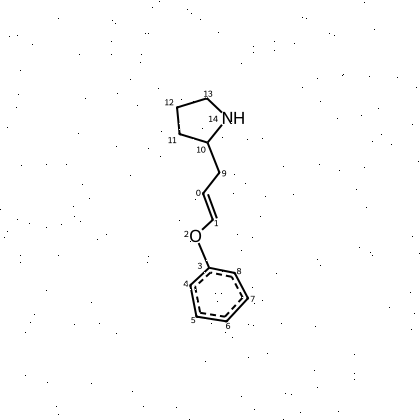 C(=COc1ccccc1)CC1CCCN1